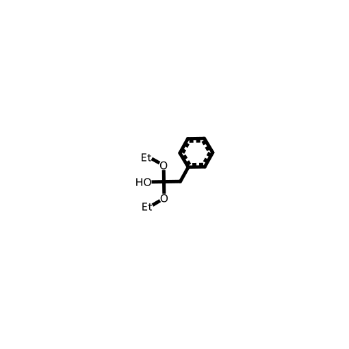 CCOC(O)(Cc1ccccc1)OCC